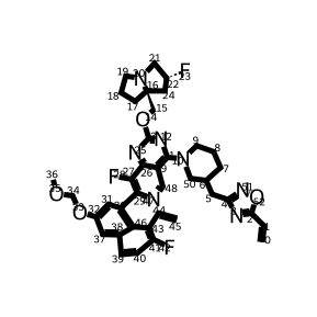 C=Cc1nc(CC2CCCN(c3nc(OC[C@@]45CCCN4C[C@H](F)C5)nc4c(F)c(-c5cc(OCOC)cc6ccc(F)c(C=C)c56)ncc34)C2)no1